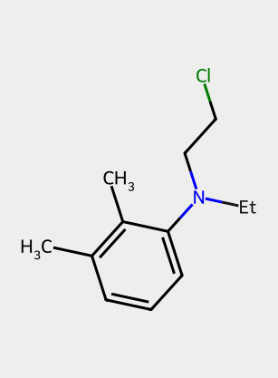 CCN(CCCl)c1cccc(C)c1C